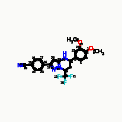 COc1ccc(C2CC(C(F)(F)F)n3nc(-c4ccc(C#N)cc4)cc3N2)cc1OC